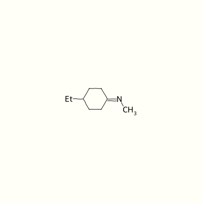 CCC1CCC(=NC)CC1